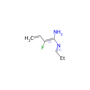 C=C/C(F)=C(N)/N=C/CC